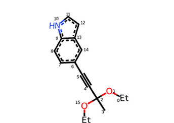 CCOC(C)(C#Cc1ccc2[nH]ccc2c1)OCC